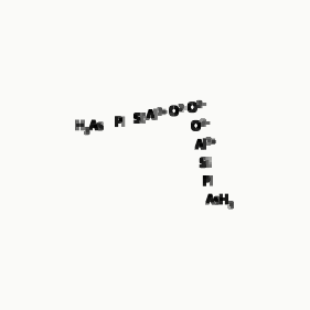 [Al+3].[Al+3].[AsH3].[AsH3].[O-2].[O-2].[O-2].[P].[P].[Si].[Si]